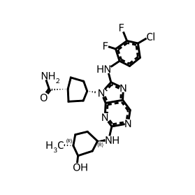 C[C@@H]1CC[C@@H](Nc2ncc3nc(Nc4ccc(Cl)c(F)c4F)n([C@H]4CC[C@@H](C(N)=O)CC4)c3n2)CC1O